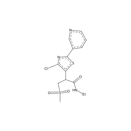 CCNC(=O)C(CS(C)(=O)=O)c1sc(-c2cccnc2)nc1Cl